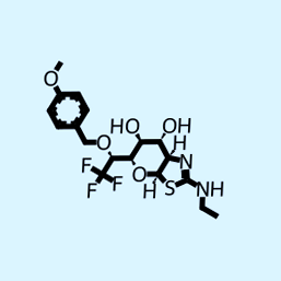 CCNC1=N[C@@H]2[C@@H](O)[C@H](O)[C@@H]([C@@H](OCc3ccc(OC)cc3)C(F)(F)F)O[C@@H]2S1